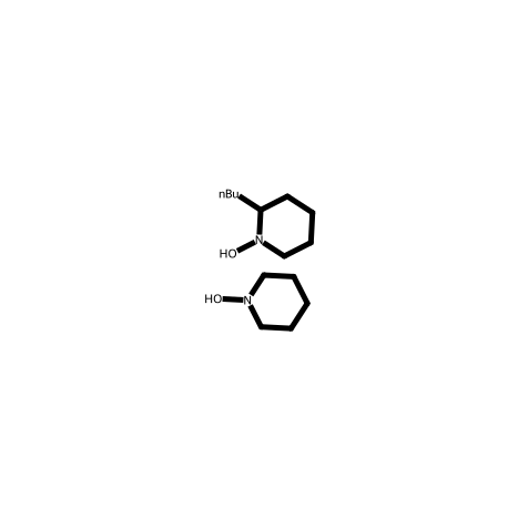 CCCCC1CCCCN1O.ON1CCCCC1